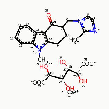 Cc1nccn1CC1CCc2c(c3ccccc3n2C)C1=O.O=C([O-])[C@@H](O)[C@@H](O)[C@H](O)[C@@H](O)C(=O)[O-].[Ca+2]